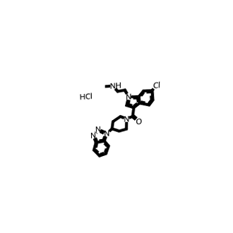 CNCCn1cc(C(=O)N2CCC(n3nnc4ccccc43)CC2)c2ccc(Cl)cc21.Cl